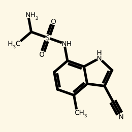 Cc1ccc(NS(=O)(=O)C(C)N)c2[nH]cc(C#N)c12